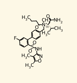 CCCC(=O)[N+](C)(Cc1ccc(-c2cc(F)ccc2S(=O)(=O)Nc2noc(C)c2C)cc1)[C@H](C(N)=O)C(C)C